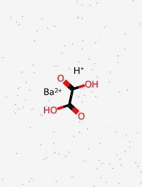 O=C(O)C(=O)O.[Ba+2].[H+]